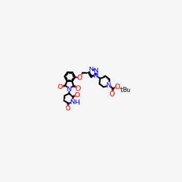 CC(C)(C)OC(=O)N1CCC(n2cc(COc3cccc4c3C(=O)N(C3CCC(=O)NC3=O)C4=O)nn2)CC1